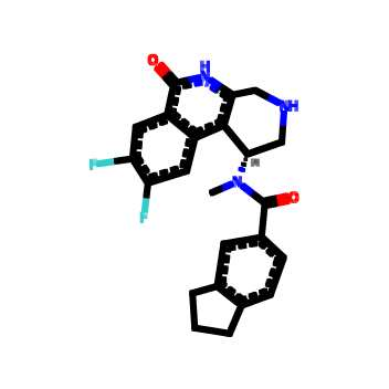 CN(C(=O)c1ccc2c(c1)CCC2)[C@H]1CNCc2[nH]c(=O)c3cc(F)c(F)cc3c21